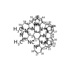 Cc1cc(-c2c(C#N)c(-n3c4ccccc4c4cccnc43)c(-n3c4ccccc4c4cccnc43)c(-n3c4ccccc4c4cccnc43)c2-n2c3ccccc3c3cccnc32)cc(C)n1